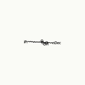 CCCCCCCCCCCCCCCCOCC(O)COC(=O)CCCCCCCCCCCCCCC(C)C